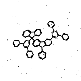 c1ccc(-c2cc(-c3ccccc3)cc(C3(c4ccc5c(c4)c4cc(-c6nc(-c7ccccc7)nc(-c7ccccc7)n6)ccc4n5-c4ccccc4)c4ccccc4-c4ccccc43)c2)cc1